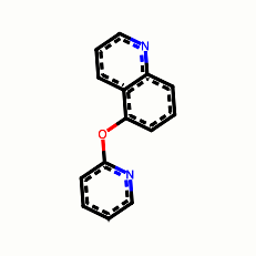 [c]1ccc(Oc2cccc3ncccc23)nc1